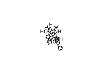 CC[C@H](C)[C@H](NC(=O)C[C@H](NC(=O)OCc1ccccc1)[C@H](Cc1ccccc1)NC(=O)OC(C)(C)C)C(=O)NC(C(=O)O)C(C)C